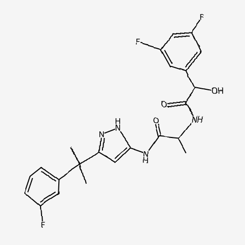 CC(NC(=O)C(O)c1cc(F)cc(F)c1)C(=O)Nc1cc(C(C)(C)c2cccc(F)c2)n[nH]1